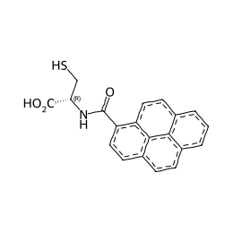 O=C(N[C@@H](CS)C(=O)O)c1ccc2ccc3cccc4ccc1c2c34